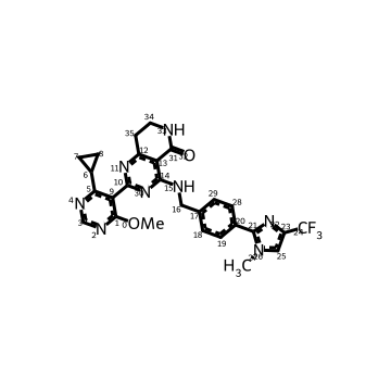 COc1ncnc(C2CC2)c1-c1nc2c(c(NCc3ccc(-c4nc(C(F)(F)F)cn4C)cc3)n1)C(=O)NCC2